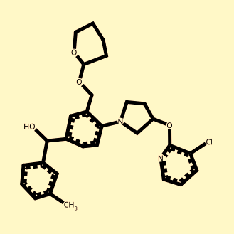 Cc1cccc(C(O)c2ccc(N3CCC(Oc4ncccc4Cl)C3)c(COC3CCCCO3)c2)c1